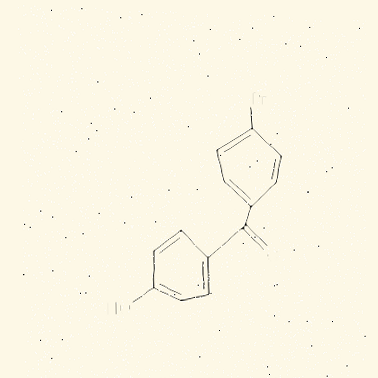 CC(C)c1ccc(C(=O)c2ccc(O)cc2)cc1